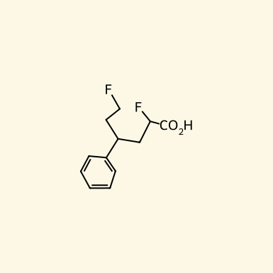 O=C(O)C(F)CC(CCF)c1ccccc1